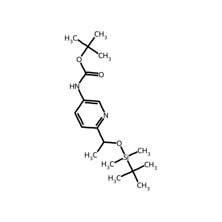 CC(O[Si](C)(C)C(C)(C)C)c1ccc(NC(=O)OC(C)(C)C)cn1